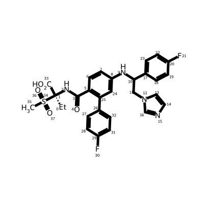 CC[C@@](NC(=O)c1ccc(NC(Cn2ccnc2)c2ccc(F)cc2)cc1-c1ccc(F)cc1)(C(=O)O)S(C)(=O)=O